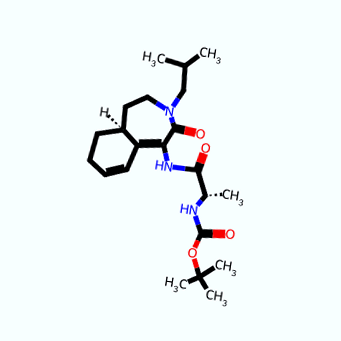 CC(C)CN1CC[C@@H]2CCC=CC2=C(NC(=O)[C@H](C)NC(=O)OC(C)(C)C)C1=O